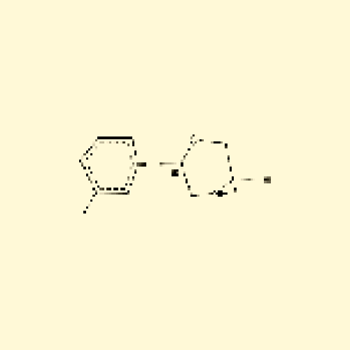 Cc1cccc([C@H]2CN[C@@H](C)CO2)c1